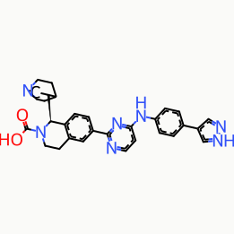 O=C(O)N1CCc2cc(-c3nccc(Nc4ccc(-c5cn[nH]c5)cc4)n3)ccc2[C@@H]1C1CN2CCC1CC2